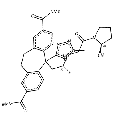 CNC(=O)c1ccc2c(c1)CCc1cc(C(=O)NC)ccc1C2(C[C@@H](C)NCC(=O)N1CCC[C@H]1C#N)c1nnn(C)n1